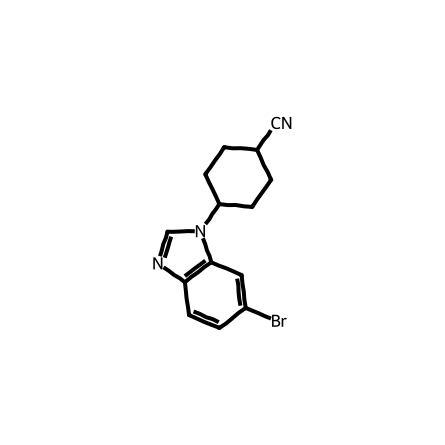 N#CC1CCC(n2cnc3ccc(Br)cc32)CC1